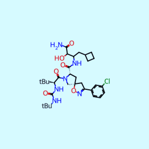 CC(C)(C)NC(=O)N[C@H](C(=O)N1C[C@@]2(CC(c3cccc(Cl)c3)=NO2)C[C@H]1C(=O)NC(CC1CCC1)C(O)C(N)=O)C(C)(C)C